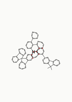 CC1(C)c2ccccc2-c2cc(-c3cccc(N(c4ccc5c(c4)C4(c6ccccc6-c6ccccc64)c4ccccc4-5)c4cccc(-c5ccccc5)c4-c4ccccc4-c4ccccc4)c3)ccc21